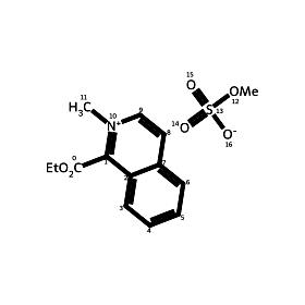 CCOC(=O)c1c2ccccc2cc[n+]1C.COS(=O)(=O)[O-]